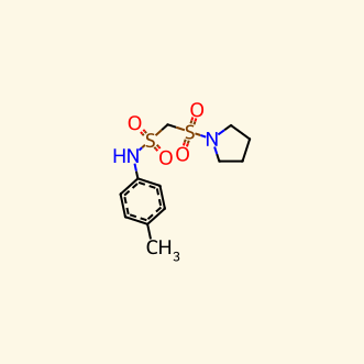 Cc1ccc(NS(=O)(=O)CS(=O)(=O)N2CCCC2)cc1